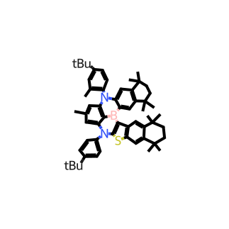 Cc1cc2c3c(c1)N(c1ccc(C(C)(C)C)cc1)c1sc4cc5c(cc4c1B3c1cc3c(cc1N2c1ccc(C(C)(C)C)cc1C)C(C)(C)CCC3(C)C)C(C)(C)CCC5(C)C